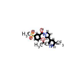 C[C@H](Oc1ccc(S(C)(=O)=O)cc1C(=O)N1CCC(c2cncc(C(F)(F)F)c2)C1)C(F)(F)F